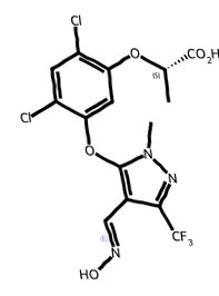 C[C@H](Oc1cc(Oc2c(/C=N/O)c(C(F)(F)F)nn2C)c(Cl)cc1Cl)C(=O)O